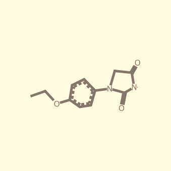 CCOc1ccc(N2CC(=O)[N]C2=O)cc1